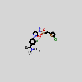 CCC(c1ccc(N2CC[C@H](NS(=O)(=O)/C=C/c3ccc(Cl)s3)C2=O)c(F)c1)N(C)C